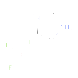 CN1CC[NH2+]C1.F[B-](F)(F)F